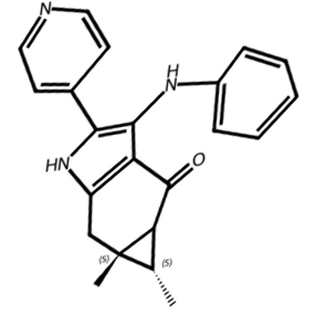 C[C@H]1C2C(=O)c3c([nH]c(-c4ccncc4)c3Nc3ccccc3)C[C@]21C